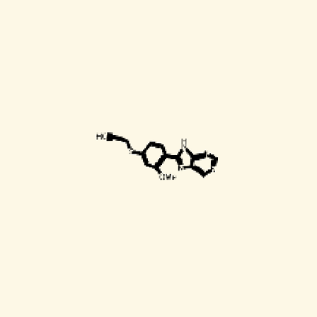 C#CCSc1ccc(-c2nc3cncnc3[nH]2)c(OC)c1